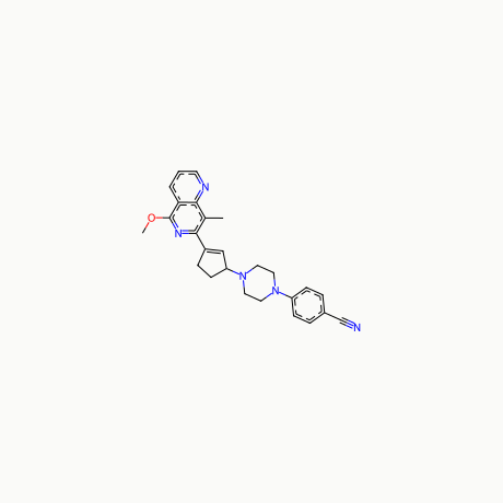 COc1nc(C2=CC(N3CCN(c4ccc(C#N)cc4)CC3)CC2)c(C)c2ncccc12